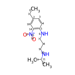 CCc1ccc(NCCCNC(C)C)c([N+](=O)[O-])c1